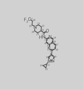 O=C(Nc1cc2nc(-c3cnn(C4CC4)c3)ccc2cn1)C1CCN(CCC(F)(F)F)CC1